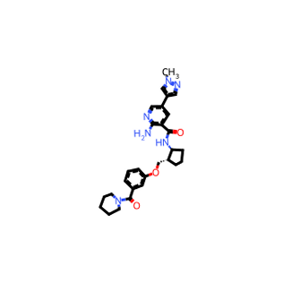 Cn1cc(-c2cnc(N)c(C(=O)N[C@H]3CCC[C@@H]3COc3cccc(C(=O)N4CCCCC4)c3)c2)cn1